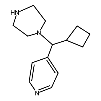 c1cc(C(C2CCC2)N2CCNCC2)ccn1